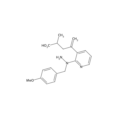 C=C(CC(C)C(=O)O)c1cccnc1N(N)Cc1ccc(OC)cc1